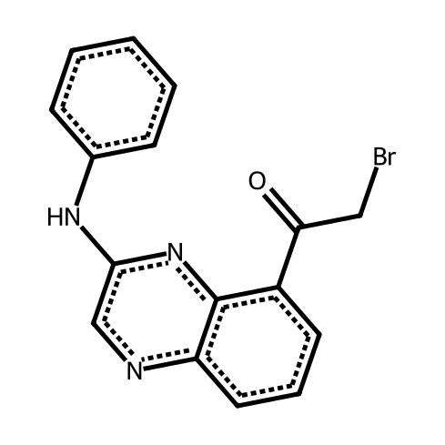 O=C(CBr)c1cccc2ncc(Nc3ccccc3)nc12